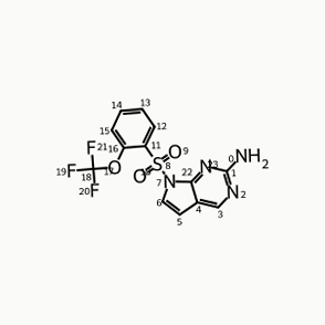 Nc1ncc2ccn(S(=O)(=O)c3ccccc3OC(F)(F)F)c2n1